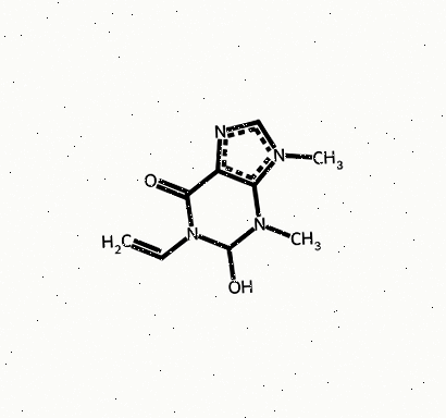 C=CN1C(=O)c2ncn(C)c2N(C)C1O